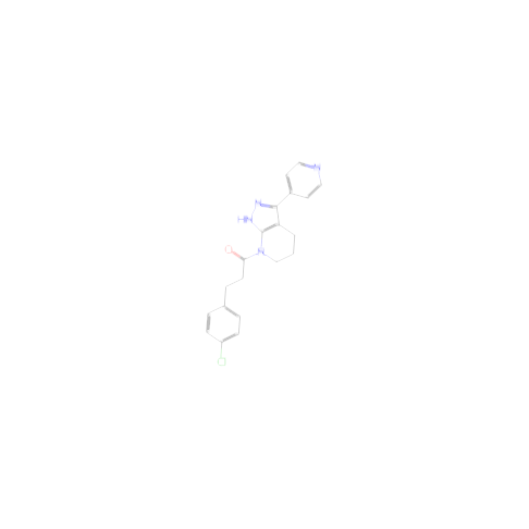 O=C(CCc1ccc(Cl)cc1)N1CCCc2c(-c3ccncc3)n[nH]c21